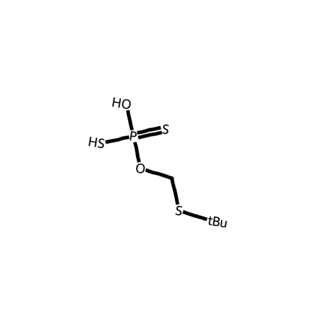 CC(C)(C)SCOP(O)(=S)S